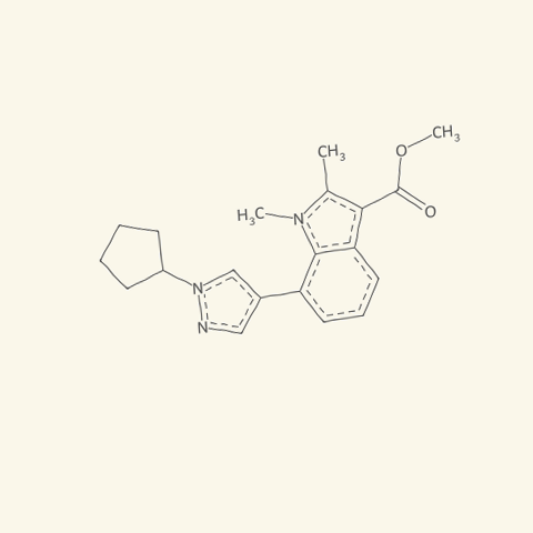 COC(=O)c1c(C)n(C)c2c(-c3cnn(C4CCCC4)c3)cccc12